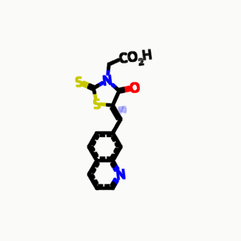 O=C(O)CN1C(=O)/C(=C/c2ccc3cccnc3c2)SC1=S